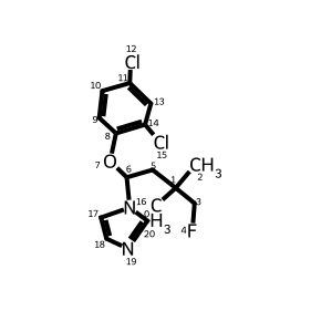 CC(C)(CF)CC(Oc1ccc(Cl)cc1Cl)n1ccnc1